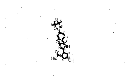 CC1(C)OB(c2ccc([C@]3(C)NC(C4C[C@@H](O)CN4C(=O)O)=NC3=O)cc2)OC1(C)C